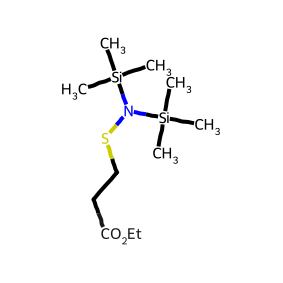 CCOC(=O)CCSN([Si](C)(C)C)[Si](C)(C)C